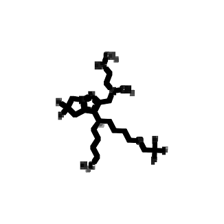 CCCCC[C@H](CCCCOCC(F)(F)F)c1c(CN(C)CCNC)nn2c1CC(F)(F)C2